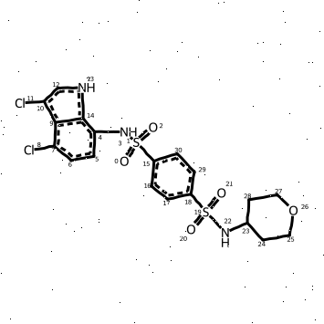 O=S(=O)(Nc1ccc(Cl)c2c(Cl)c[nH]c12)c1ccc(S(=O)(=O)NC2CCOCC2)cc1